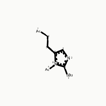 CCCCc1ncc(CCC(C)=O)n1C(C)=O